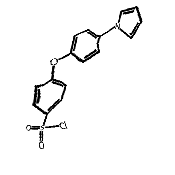 O=S(=O)(Cl)c1ccc(Oc2ccc(-n3cccc3)cc2)cc1